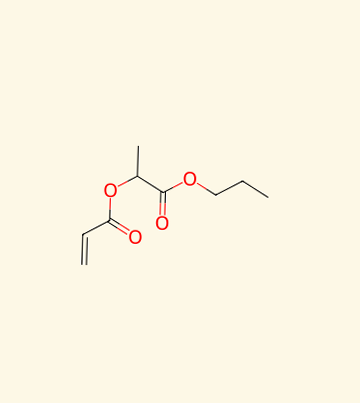 C=CC(=O)OC(C)C(=O)OCCC